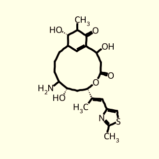 C/C(=C\c1csc(C)n1)[C@@H]1C[C@H](O)C(N)CCCC2C=C(C(=O)C(C)[C@H]2O)C(O)CC(=O)O1